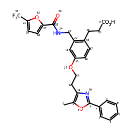 Cc1oc(-c2ccccc2)nc1CCOc1ccc(CCC(=O)O)c(CNC(=O)c2ccc(C(F)(F)F)o2)c1